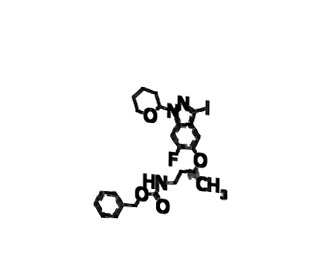 C[C@H](CCNC(=O)OCc1ccccc1)Oc1cc2c(I)nn(C3CCCCO3)c2cc1F